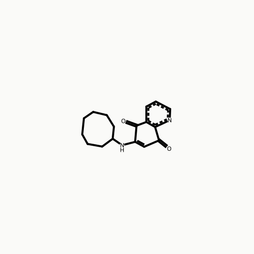 O=C1C(NC2CCCCCCC2)=CC(=O)c2ncccc21